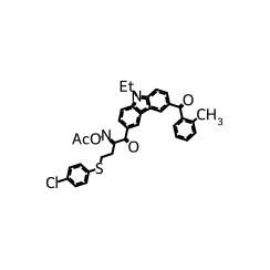 CCn1c2ccc(C(=O)C(CCSc3ccc(Cl)cc3)=NOC(C)=O)cc2c2cc(C(=O)c3ccccc3C)ccc21